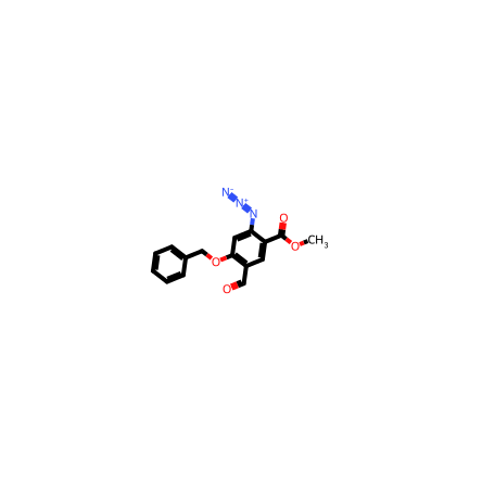 COC(=O)c1cc(C=O)c(OCc2ccccc2)cc1N=[N+]=[N-]